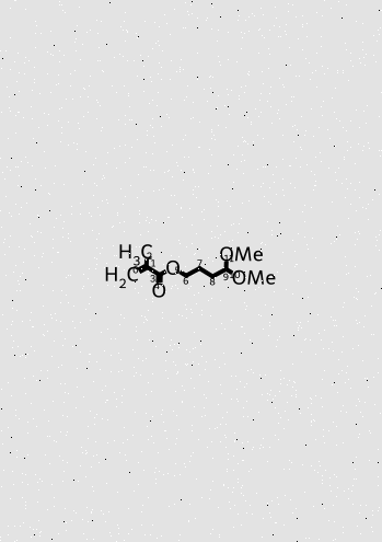 C=C(C)C(=O)OCCCC(OC)OC